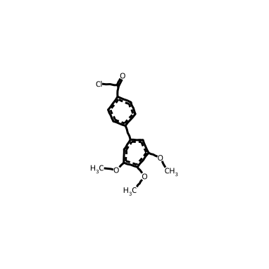 COc1cc(-c2ccc(C(=O)Cl)cc2)cc(OC)c1OC